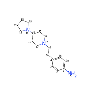 Nc1ccc(CCN2CCC(N3CCCC3)CC2)cc1